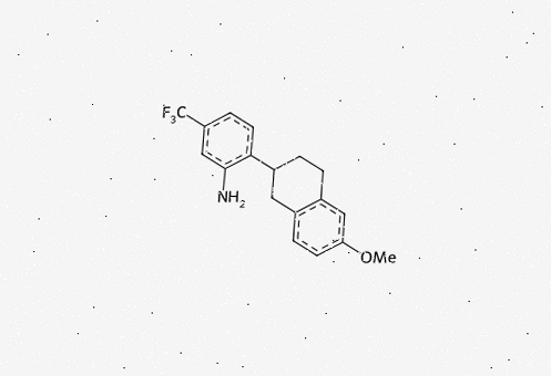 COc1ccc2c(c1)CCC(c1ccc(C(F)(F)F)cc1N)C2